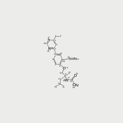 CCc1cc(-c2ccc(OCC(C)(CC(C)C)NC(=O)O)c(C#N)c2)ncn1